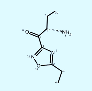 CCc1nc(C(=O)[C@@H](N)CC)no1